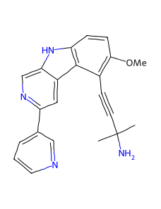 COc1ccc2[nH]c3cnc(-c4cccnc4)cc3c2c1C#CC(C)(C)N